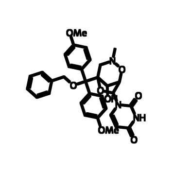 COc1ccc(C(OCc2ccccc2)(c2ccc(OC)cc2)C23CN(C)OC(C(n4ccc(=O)[nH]c4=O)O2)C3O)cc1